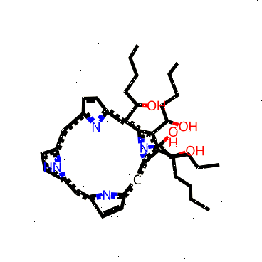 CCCCC(O)c1c(C(O)CCCC)c2c(C(O)CCCC)c3nc(cc4ccc(cc5nc(cc1n2C(O)CCCC)C=C5)[nH]4)C=C3